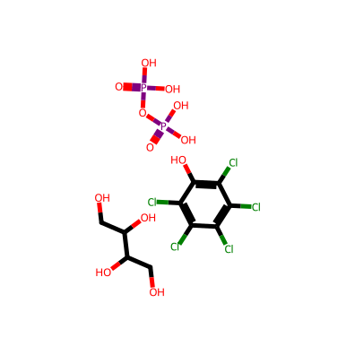 O=P(O)(O)OP(=O)(O)O.OCC(O)C(O)CO.Oc1c(Cl)c(Cl)c(Cl)c(Cl)c1Cl